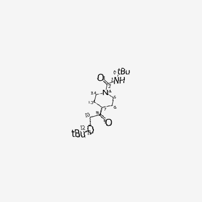 CC(C)(C)NC(=O)N1CCC(C(=O)COC(C)(C)C)CC1